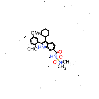 COc1ccc(C=O)c(-c2[nH]c3cc(C(=O)NS(=O)(=O)N(C)C)ccc3c2C2CCCCC2)c1